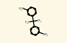 O=[N+]([O-])c1cccc(C(c2cccc([N+](=O)[O-])c2)(C(F)(F)F)C(F)(F)F)c1